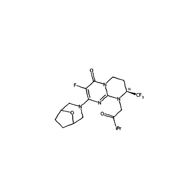 CC(C)C(=O)CN1c2nc(N3CC4CCC(C3)O4)c(F)c(=O)n2CC[C@H]1C(F)(F)F